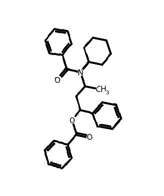 CC(CC(OC(=O)c1ccccc1)c1ccccc1)N(C(=O)c1ccccc1)C1CCCCC1